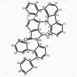 O=C1c2cccc(-n3c4ccccc4c4cccc(-c5ccccc5)c43)c2C(O)N1c1cccc(-c2ccccc2)c1-c1ccccc1